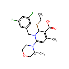 CCSC1C(C(=O)O)=C(C)C=C(N2CCOC[C@H]2C)N1Cc1cc(F)cc(F)c1